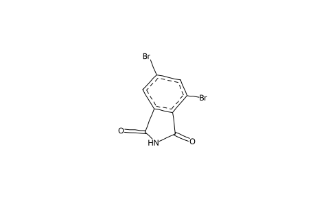 O=C1NC(=O)c2c(Br)cc(Br)cc21